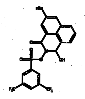 CCCCc1cc2c3c(cccc3c1)C(O)N(OS(=O)(=O)c1cc(C(F)(F)F)cc(C(F)(F)F)c1)C2=O